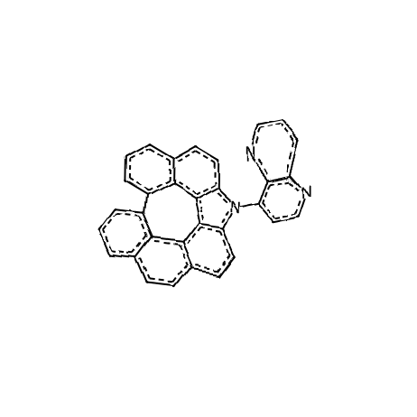 c1cc2c3c(c1)ccc1ccc4c(c13)c1c3c-2cccc3ccc1n4-c1ccnc2cccnc12